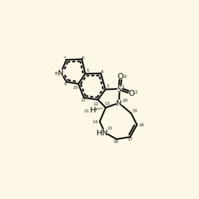 O=S1(=O)c2cc3ccncc3cc2[C@@H]2CNC/C=C\CN21